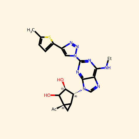 CCNc1nc(-n2cc(-c3ccc(C)s3)nn2)nc2c1ncn2[C@@H]1C2C[C@]2(C(C)=O)C(O)[C@H]1O